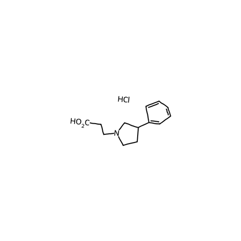 Cl.O=C(O)CCN1CCC(c2ccccc2)C1